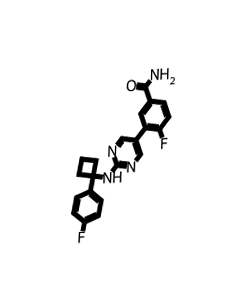 NC(=O)c1ccc(F)c(-c2cnc(NC3(c4ccc(F)cc4)CCC3)nc2)c1